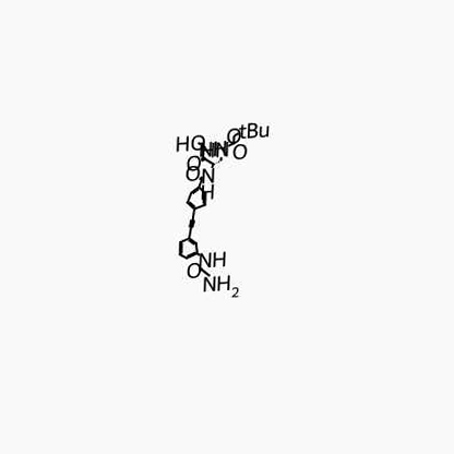 CC(C)(C)OC(=O)NC[C@H](NC(=O)c1ccc(C#Cc2cccc(NC(=O)CN)c2)cc1)C(=O)NO